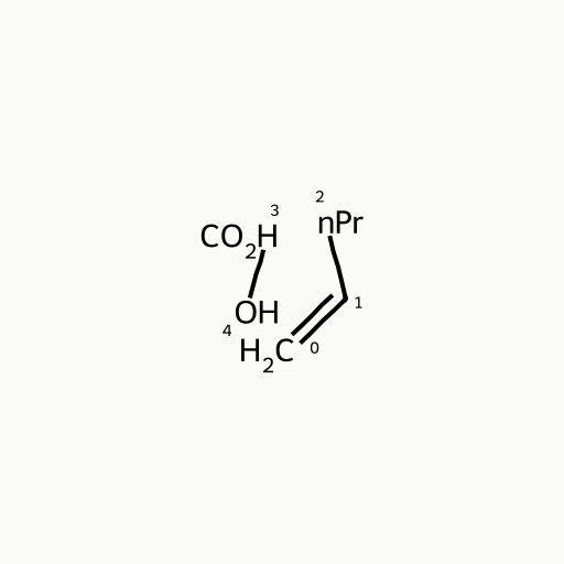 C=CCCC.O=C(O)O